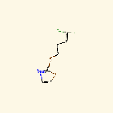 FC(F)=CCCSc1nccs1